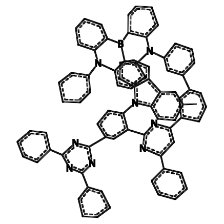 Cc1ccc2c(c1)c1ccccc1n2-c1ccc(-c2nc(-c3ccccc3)nc(-c3ccccc3)n2)cc1-c1nc(-c2ccccc2)cc(-c2cccc(-c3cccc(N4c5ccccc5B5c6ccccc6N(c6ccccc6)c6cccc4c65)c3)c2)n1